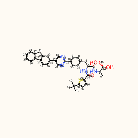 C[C@@H](NC(O)[C@H](Cc1ccc(-c2ncc(-c3ccc4c(c3)Cc3ccccc3-4)cn2)cc1)NC(=O)c1ccc(C(C)(C)C)s1)C(=O)O